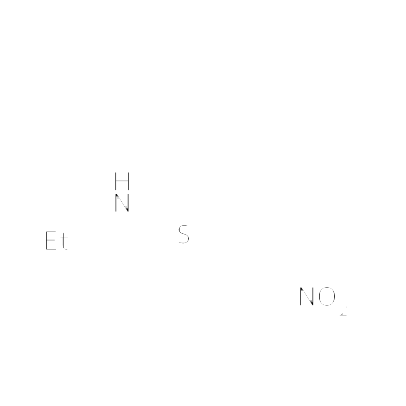 CCNSc1ccccc1[N+](=O)[O-]